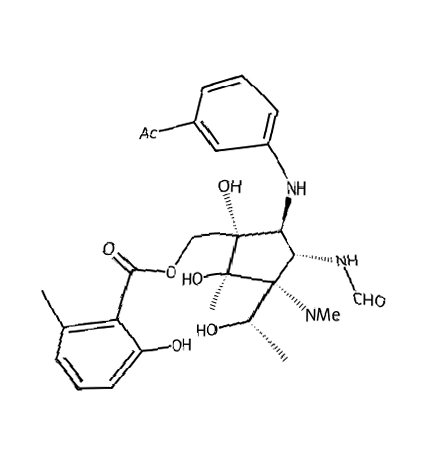 CN[C@@]1([C@H](C)O)[C@@H](NC=O)[C@H](Nc2cccc(C(C)=O)c2)[C@](O)(COC(=O)c2c(C)cccc2O)[C@]1(C)O